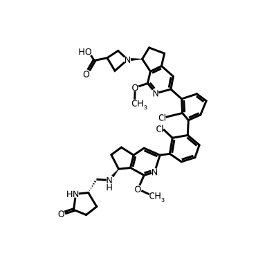 COc1nc(-c2cccc(-c3cccc(-c4cc5c(c(OC)n4)[C@@H](N4CC(C(=O)O)C4)CC5)c3Cl)c2Cl)cc2c1[C@@H](NC[C@@H]1CCC(=O)N1)CC2